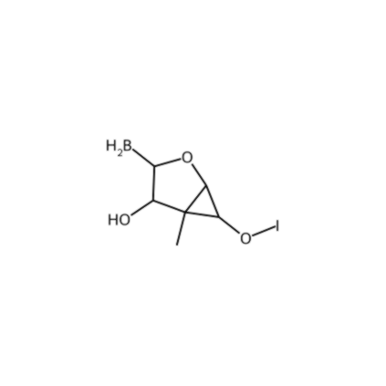 BC1OC2C(OI)C2(C)C1O